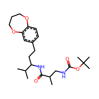 CC(CNC(=O)OC(C)(C)C)C(=O)NC(CCc1ccc2c(c1)OCCCO2)C(C)C